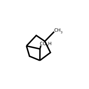 CC1CC2CC(C1)C2C(=O)O